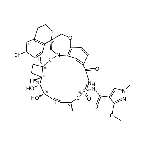 COc1nn(C)cc1C(=O)N[S@@]1(=O)=NC(=O)c2ccc3c(c2)N(C[C@@H]2CC[C@H]2[C@@H](O)[C@H](O)/C=C\[C@H](C)C1)C[C@@]1(CCCc2cc(Cl)ccc21)CO3